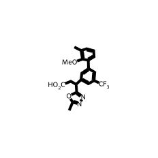 COc1c(C)cccc1-c1cc(C(CC(=O)O)c2nnc(C)o2)cc(C(F)(F)F)c1